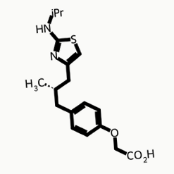 CC(C)Nc1nc(C[C@@H](C)Cc2ccc(OCC(=O)O)cc2)cs1